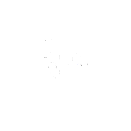 CC(=O)NCc1ccc(-c2nc3cnccn3c2Nc2ccc3c(c2)CC/C3=N\O)cc1